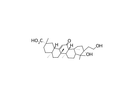 CC1(C)C2CC[C@]3(C)[C@H](C(=O)C=C4[C@H]5C[C@@](C)(C(=O)O)CC[C@]5(C)CC[C@]43C)[C@@]2(C)CC[C@@]1(O)CCO